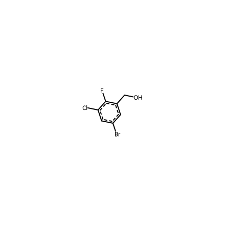 OCc1cc(Br)cc(Cl)c1F